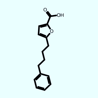 O=C(O)c1ccc(CCCCc2ccccc2)o1